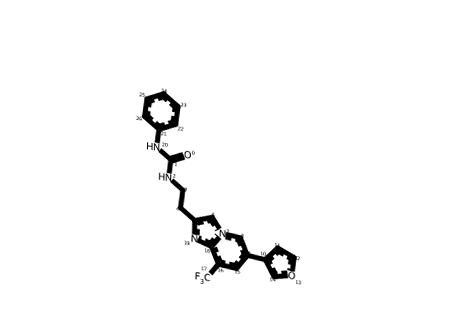 O=C(NCCc1cn2cc(-c3ccoc3)cc(C(F)(F)F)c2n1)Nc1ccccc1